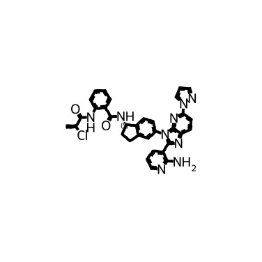 C=C(Cl)C(=O)Nc1ccccc1C(=O)N[C@H]1CCc2cc(-n3c(-c4cccnc4N)nc4ccc(-n5cccn5)nc43)ccc21